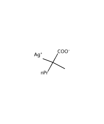 CCCC(C)(C)C(=O)[O-].[Ag+]